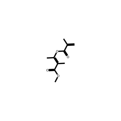 C=C(C)C(=O)OC(C)=C(C)C(=O)OC